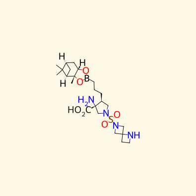 CC1(C)[C@H]2C[C@@H]3OB(CCC[C@H]4CN(S(=O)(=O)N5CC6(CCN6)C5)C[C@@]4(N)C(=O)O)O[C@]3(C)[C@@H]1C2